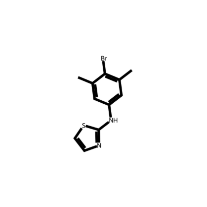 Cc1cc(Nc2nccs2)cc(C)c1Br